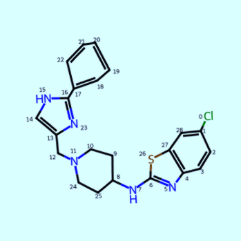 Clc1ccc2nc(NC3CCN(Cc4c[nH]c(-c5ccccc5)n4)CC3)sc2c1